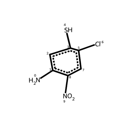 Nc1cc(S)c(Cl)cc1[N+](=O)[O-]